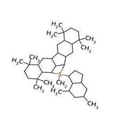 CC1CC(C)C2C(CCC2S2(C)C3C4CC5C(CC4C4CC6C(C2C43)C(C)(C)CCC6(C)C)C(C)(C)CCC5(C)C)C1